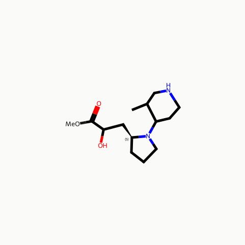 COC(=O)C(O)C[C@@H]1CCCN1C1CCNCC1C